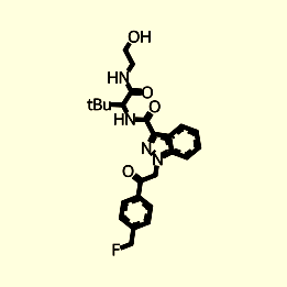 CC(C)(C)C(NC(=O)c1nn(CC(=O)c2ccc(CF)cc2)c2ccccc12)C(=O)NCCO